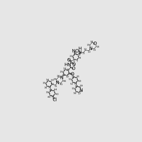 O=C(NS(=O)(=O)c1ccc(NCCCN2CCOCC2)c([N+](=O)[O-])c1)c1ccc(N2CCN(Cc3ccccc3-c3ccc(Cl)cc3)CC2)cc1Oc1ccc(-c2cccnc2)cc1